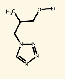 CCOCC(C)Cn1[c]nnn1